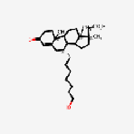 C[C@]1(CC(=O)O)CCC2C3C(CC[C@@]21C)[C@@]1(C)CCC(=O)C=C1C[C@H]3CCCCCCCO